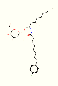 CCCCCCCCCCCCCC[C@@H](O)[C@@H](O)[C@H](CO[C@H]1O[C@H](CO)[C@H](O)[C@H](O)[C@H]1O)NC(=O)CCCCCCCc1ccc(F)cc1